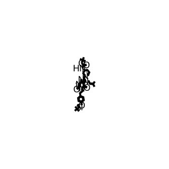 CC(C)=CCn1c(N2CCC[C@H](NC(=O)OC(C)(C)C)C2)nc2c1c(=O)n(CCc1ccc(O[Si](C)(C)C(C)(C)C)cc1)c(=O)n2C